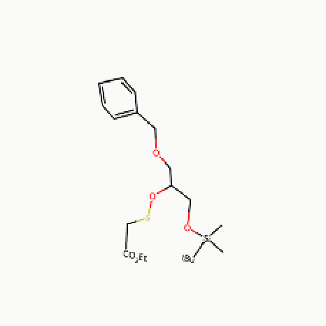 CCOC(=O)CSOC(COCc1ccccc1)CO[Si](C)(C)C(C)(C)C